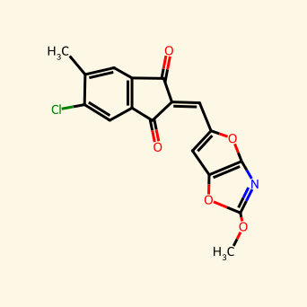 COc1nc2oc(/C=C3/C(=O)c4cc(C)c(Cl)cc4C3=O)cc2o1